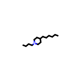 CCCCCCC1CCN(CCCC)CC1